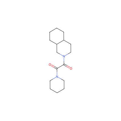 O=C(C(=O)N1CCC2CCCCC2C1)N1CCCCC1